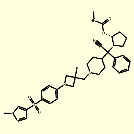 CNC(=O)O[C@@H]1CCC[C@H]1C(C#N)(c1ccccc1)C1CCN(CC2(F)CN(c3ccc(S(=O)(=O)c4cnn(C)c4)cc3)C2)CC1